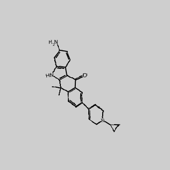 CC1(C)c2ccc(C3=CCN(C4CC4)CC3)cc2C(=O)c2c1[nH]c1cc(N)ccc21